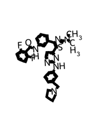 CN(C)c1nc(-c2cccc(NC(=O)c3c(F)cccc3F)c2)c(-c2ccnc(Nc3cccc(CN4CCCC4)c3)n2)s1